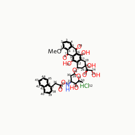 COc1cccc2c1C(=O)c1c(O)c3c(c(O)c1C2=O)C[C@@](O)(C(=O)CO)C[C@@H]3OC1CC(NOC(=O)Cc2cccc3ccccc23)C(O)C(C)O1.Cl